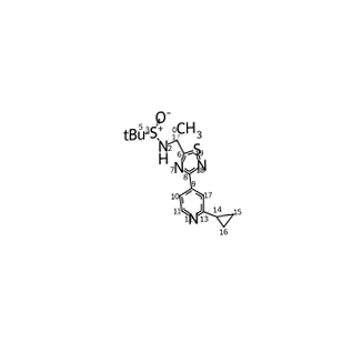 C[C@@H](N[S+]([O-])C(C)(C)C)c1nc(-c2ccnc(C3CC3)c2)ns1